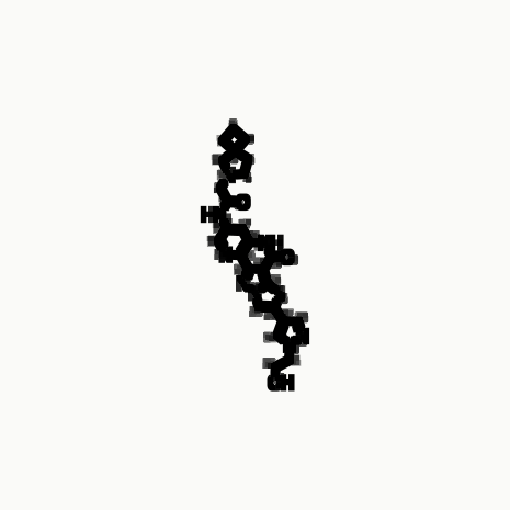 O=C(CN1CCC2(CCC2)C1)Nc1cnc2c(c1)[nH]c(=O)c1c2nn2cc(-c3cnn(CCO)c3)sc12